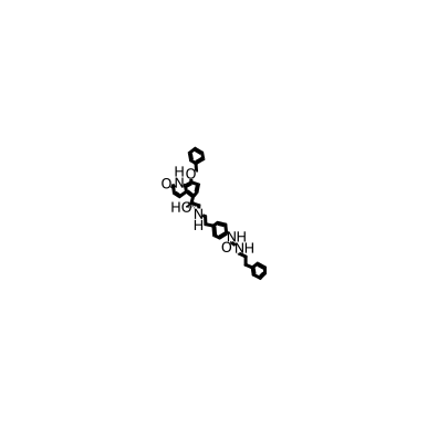 O=C(NCCCc1ccccc1)Nc1ccc(CCNC[C@@H](O)c2ccc(OCc3ccccc3)c3[nH]c(=O)ccc23)cc1